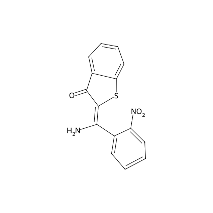 N/C(=C1/Sc2ccccc2C1=O)c1ccccc1[N+](=O)[O-]